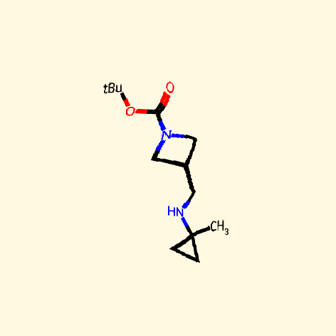 CC1(NCC2CN(C(=O)OC(C)(C)C)C2)CC1